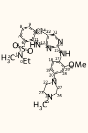 CCN(C)S(=O)(=O)c1ccccc1Nc1nc(Nc2ccc(N3CCN(C)CC3)cc2OC)ncc1Cl